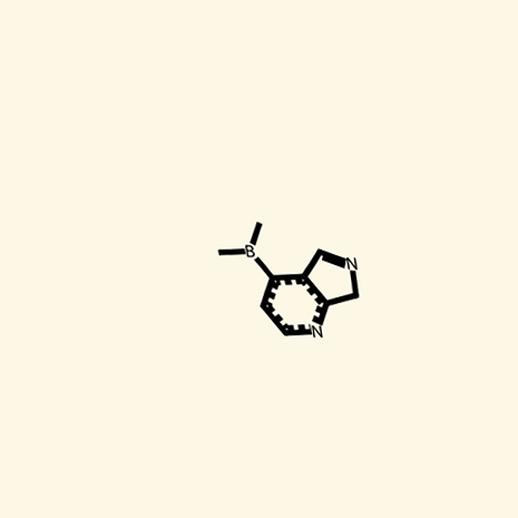 CB(C)c1ccnc2c1C=NC2